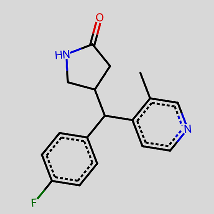 Cc1cnccc1C(c1ccc(F)cc1)C1CNC(=O)C1